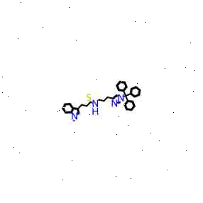 Cn1cc(CCC(=S)NCCCc2cn(C(c3ccccc3)(c3ccccc3)c3ccccc3)cn2)c2ccccc21